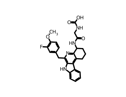 COc1ccc(Cc2nc3c(c4c2[nH]c2ccccc24)CCCC3NC(=O)CNC(=O)O)cc1F